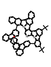 CC(C)(C)c1cc(-c2ccc3c(c2)c2ccccc2n3-c2ccccc2)c2c(c1)c1cc(C(C)(C)C)cc3c4c5c6cc7ccccc7c7c8cc9ccccc9c(-c9ccc%10c(c9)c9ccccc9n%10-c9ccccc9)c8n(c5cnc4n2c13)c67